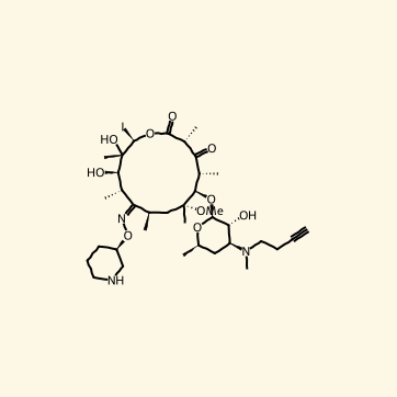 C#CCCN(C)[C@H]1C[C@@H](C)O[C@@H](O[C@@H]2[C@@H](C)C(=O)[C@@H](C)C(=O)O[C@H](I)[C@@](C)(O)[C@H](O)[C@@H](C)/C(=N/O[C@@H]3CCCNC3)[C@H](C)C[C@@]2(C)OC)[C@@H]1O